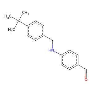 CC(C)(C)c1ccc(CNc2ccc(C=O)cc2)cc1